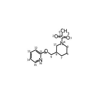 CS(=O)(=O)N1CCCC(COc2ccccn2)C1